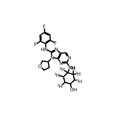 [2H]C1C(O)C([2H])C([2H])([2H])C([2H])(Nc2ncc3nc(Nc4c(F)cc(F)cc4F)n(C4CCOC4)c3n2)C1[2H]